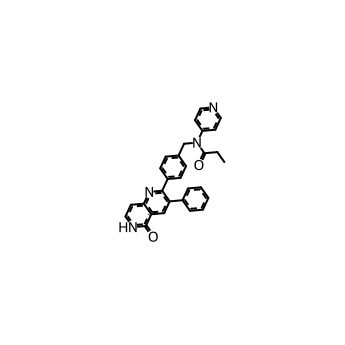 CCC(=O)N(Cc1ccc(-c2nc3cc[nH]c(=O)c3cc2-c2ccccc2)cc1)c1ccncc1